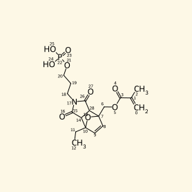 C=C(C)C(=O)OCC12C=CC(CC)(O1)C1C(=O)N(CCCOP(=O)(O)O)C(=O)C12